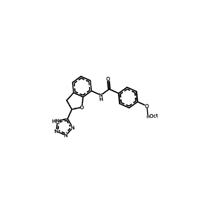 CCCCCCCCOc1ccc(C(=O)Nc2cccc3c2OC(c2nnn[nH]2)C3)cc1